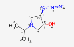 CC(C)N1C[C@@H](O)[C@H](N=[N+]=[N-])C1